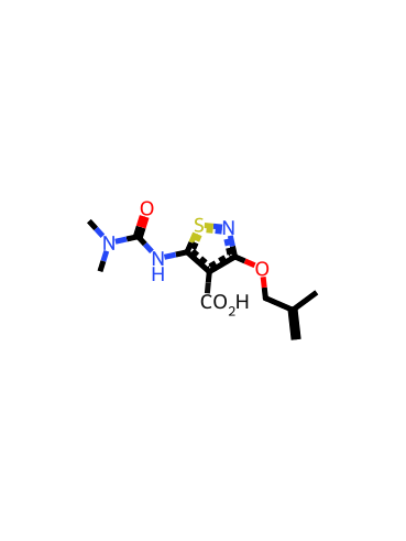 C=C(C)COc1nsc(NC(=O)N(C)C)c1C(=O)O